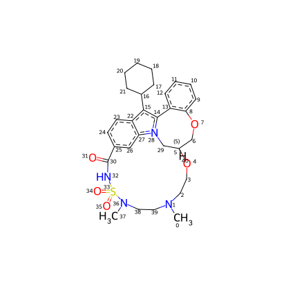 CN1CCO[C@@H]2COc3ccccc3-c3c(C4CCCCC4)c4ccc(cc4n3C2)C(=O)NS(=O)(=O)N(C)CC1